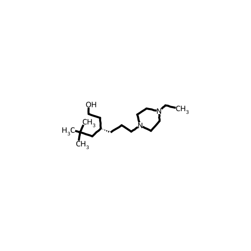 CCN1CCN(CCC[C@@H](CCO)CC(C)(C)C)CC1